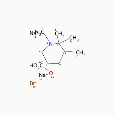 CC1CCCN(C)C1(C)C.O=C([O-])O.[Br-].[Na+].[Na+]